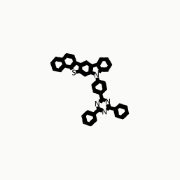 c1ccc(-c2nc(-c3ccccc3)nc(-c3ccc(-n4c5ccccc5c5cc6c(cc54)sc4c5ccccc5ccc64)cc3)n2)cc1